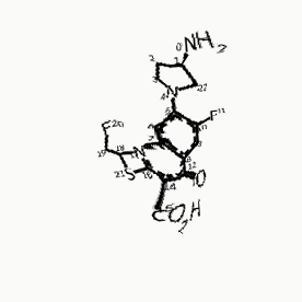 N[C@@H]1CCN(c2cc3c(cc2F)c(=O)c(C(=O)O)c2n3C(CF)S2)C1